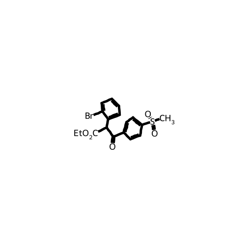 CCOC(=O)C(C(=O)c1ccc(S(C)(=O)=O)cc1)c1ccccc1Br